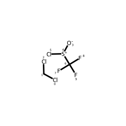 ClCCl.[O-][S+](Cl)C(F)(F)F